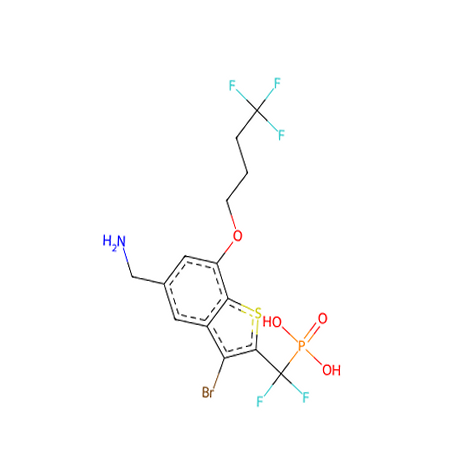 NCc1cc(OCCCC(F)(F)F)c2sc(C(F)(F)P(=O)(O)O)c(Br)c2c1